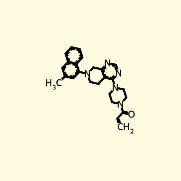 C=CC(=O)N1CCN(c2ncnc3c2CCN(c2cc(C)cc4ccccc24)C3)CC1